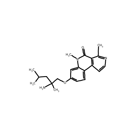 Cc1nccc2c1c(=O)n(C)c1cc(OCC(C)(N)CC(C)C)ccc21